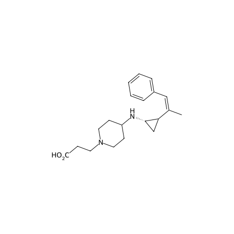 CC(=Cc1ccccc1)C1C[C@@H]1NC1CCN(CCC(=O)O)CC1